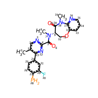 Cc1cnc(C(=O)N(C)[C@H]2COc3cccnc3N(C)C2=O)nc1-c1ccc(P)c(F)c1